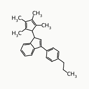 CCCc1ccc(C2=CC([C]3C(C)=C(C)C(C)=C3C)c3ccccc32)cc1